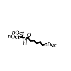 CCCCCCCCCCCCCCCC(=O)NC(CCCCCCCC)CCCCCCCC